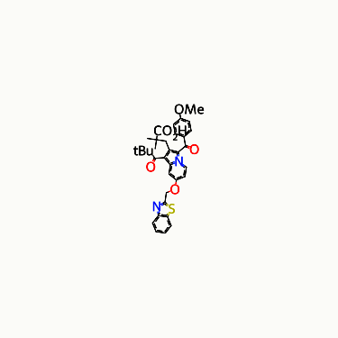 COc1ccc(C(=O)c2c(CC(C)(C)C(=O)O)c(C(=O)C(C)(C)C)c3cc(OCc4nc5ccccc5s4)ccn23)cc1